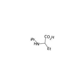 CCC(NC(C)C)C(=O)O